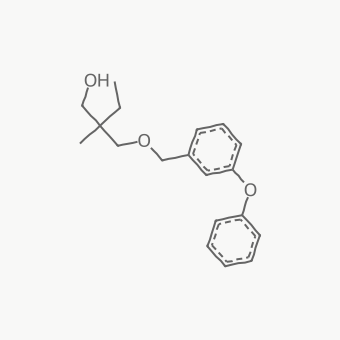 CCC(C)(CO)COCc1cccc(Oc2ccccc2)c1